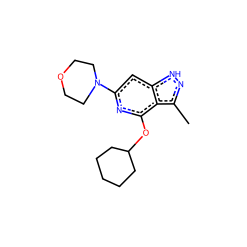 Cc1n[nH]c2cc(N3CCOCC3)nc(OC3CCCCC3)c12